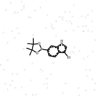 CCc1c[nH]c2cc(B3OC(C)(C)C(C)(C)O3)ccc12